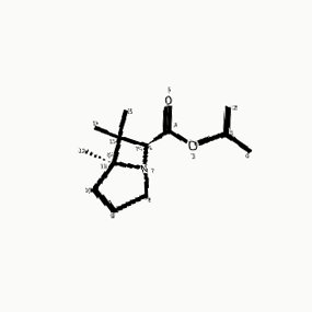 CC(C)OC(=O)[C@H]1N2CCC[C@@]2(C)C1(C)C